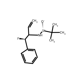 C=CC(N[S@+]([O-])C(C)(C)C)[C@H](F)c1ccccc1